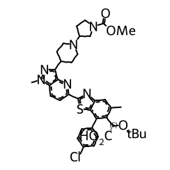 COC(=O)N1CCC(N2CCC(c3nn(C)c4ccc(-c5nc6cc(C)c([C@H](OC(C)(C)C)C(=O)O)c(-c7ccc(Cl)cc7)c6s5)nc34)CC2)C1